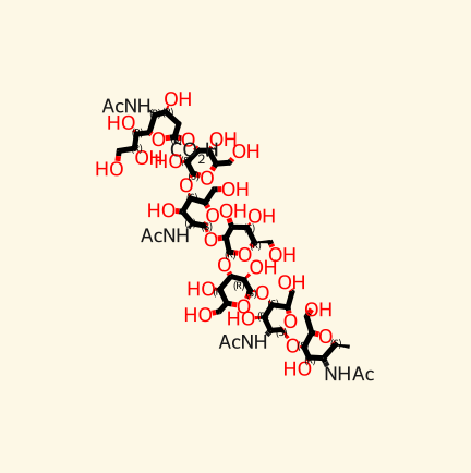 CC(=O)NC1[C@H](O[C@@H]2C(CO)O[C@@H](C)C(NC(C)=O)[C@H]2O)OC(CO)[C@@H](O[C@@H]2OC(CO)[C@@H](O)C(O[C@H]3O[C@H](CO)[C@@H](O)C(O)C3O[C@@H]3OC(CO)[C@@H](O[C@@H]4OC(CO)[C@H](O)C(O[C@]5(C(=O)O)C[C@@H](O)[C@@H](NC(C)=O)C([C@H](O)[C@H](O)CO)O5)[C@@H]4O)C(O)[C@@H]3NC(C)=O)[C@H]2O)[C@@H]1O